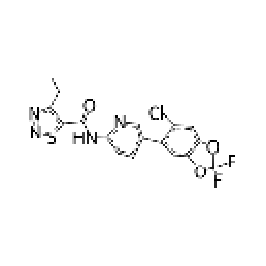 CCc1nnsc1C(=O)Nc1ccc(-c2cc3c(cc2Cl)OC(F)(F)O3)cn1